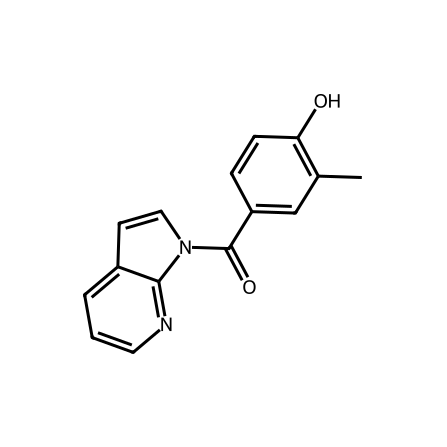 Cc1cc(C(=O)n2ccc3cccnc32)ccc1O